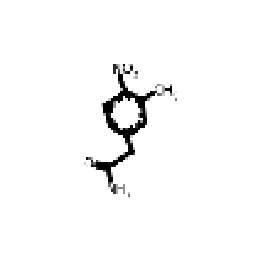 Cc1cc(CC(N)=O)ccc1[N+](=O)[O-]